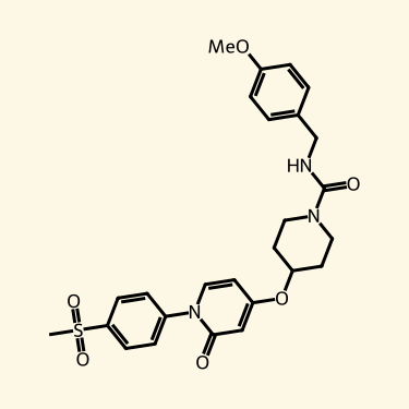 COc1ccc(CNC(=O)N2CCC(Oc3ccn(-c4ccc(S(C)(=O)=O)cc4)c(=O)c3)CC2)cc1